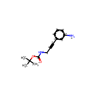 CC(C)(C)OC(=O)NCC#Cc1cccc(N)c1